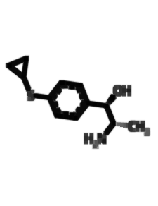 C[C@H](N)[C@H](O)c1ccc(SC2CC2)cc1